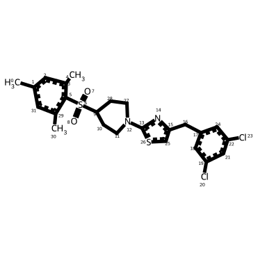 Cc1cc(C)c(S(=O)(=O)C2CCN(c3nc(Cc4cc(Cl)cc(Cl)c4)cs3)CC2)c(C)c1